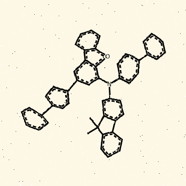 CC1(C)c2ccccc2-c2ccc(N(c3ccc(-c4ccccc4)cc3)c3cc(-c4ccc(-c5ccccc5)cc4)cc4c3oc3ccccc34)cc21